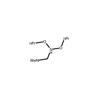 CCCO[SiH](CNC)OCCC